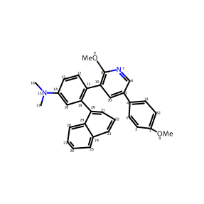 COc1ccc(-c2cnc(OC)c(-c3ccc(N(C)C)cc3-c3cccc4ccccc34)c2)cc1